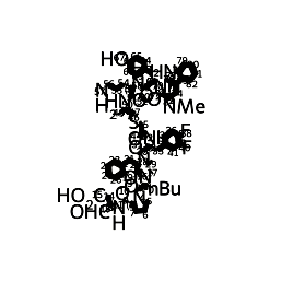 CCCC[C@@H](C(=O)N1CCC[C@@H]1C(=O)N[C@H](C=O)CC(=O)O)N(C)C(=O)C(Cc1ccccc1)N(C)C(=O)[C@H](Cc1ccc(F)c(F)c1)NC(=O)CSC[C@@H](C)NC(=O)[C@H](CCCN)NC(=O)[C@H](Cc1ccc(O)cc1)NC(=O)[C@H](Cc1c[nH]c2ccccc12)NC